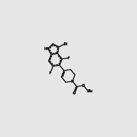 CCc1c[nH]c2cc(F)c(C3=CCN(C(=O)OC(C)(C)C)CC3)c(F)c12